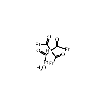 CCC(=O)[PH](C(=O)CC)(C(=O)CC)C(=O)CC.O